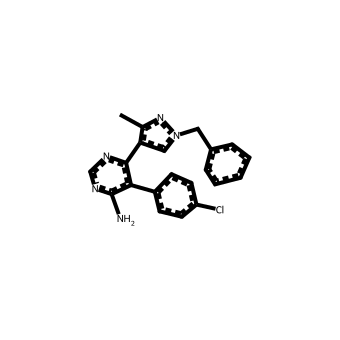 Cc1nn(Cc2ccccc2)cc1-c1ncnc(N)c1-c1ccc(Cl)cc1